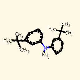 BN(c1cccc(C(C)(C)C)c1)c1cccc(C(C)(C)C)c1